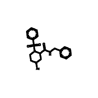 CC(=O)N1CCN(S(=O)(=O)c2ccccc2)C(C(=O)NCc2ccccc2)C1